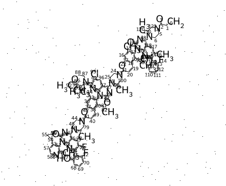 C=CC(=O)N1CCN(c2nc(=O)n(-c3c(C)ccc(/C=C\C(=O)N4CCN(c5nc(=O)n(-c6c(CC)ccc(/C=C\C(=O)N7CCN(c8nc(=O)n(-c9c(C%10CC%10)ccnc9C)c9nc(-c%10c(O)cccc%10F)c(F)cc89)[C@@H](C)C7)c6CC)c6nc(N7CCOC(C)(C)C7)c(Cl)cc56)[C@@H](C)C4)c3C(C)C)c3nc(-c4ccccc4F)c(C)cc23)[C@@H](C)C1